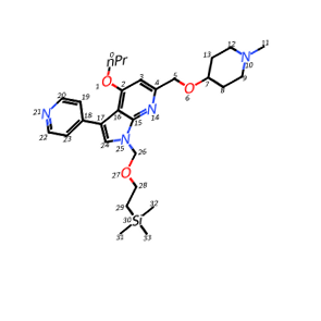 CCCOc1cc(COC2CCN(C)CC2)nc2c1c(-c1ccncc1)cn2COCC[Si](C)(C)C